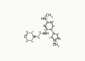 CNc1ncc(-c2cnn(C)c2)c(NCCN2CCOCC2)n1